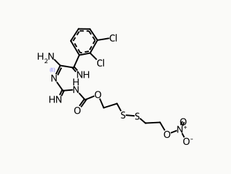 N=C(/N=C(/N)C(=N)c1cccc(Cl)c1Cl)NC(=O)OCCSSCCO[N+](=O)[O-]